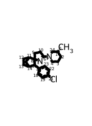 CC1CCCN(C2=NC3(CC2)C2CCC(C2)C3c2ccc(Cl)cc2)C1